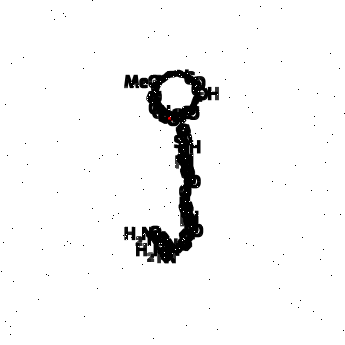 CO[C@H]1CC2CC[C@@H](C)C(O2)C(=O)C(=O)N2CCCC[C@H]2C(=O)O[C@H](CC[C@H]2CC[C@H](OC(=S)NCc3cnc(N4CCN(C(=O)CCOCCN5CCN(c6ncc(C(=O)N7CCc8cc(Cn9nc(-c%10ccc%11oc(N)nc%11c%10)c%10c(N)ncnc%109)ccc8C7)cn6)CC5)CC4)nc3)CC2)CC(=O)[C@H](C)/C=C(\C)[C@@H](O)CC(=O)[C@H](C)C[C@H](C)/C=C/C=C/C=C/1C